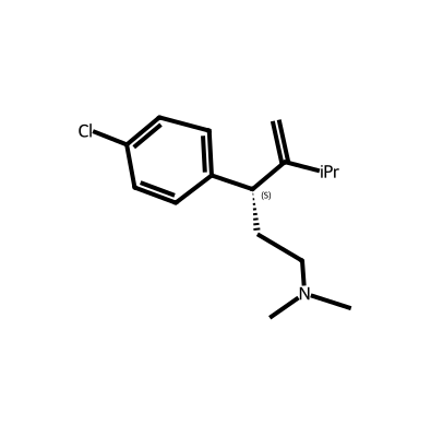 C=C(C(C)C)[C@H](CCN(C)C)c1ccc(Cl)cc1